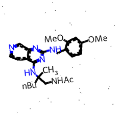 CCCCC(C)(CNC(C)=O)Nc1nc(NCc2ccc(OC)cc2OC)nc2cnccc12